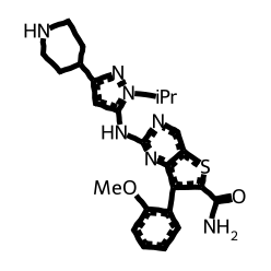 COc1ccccc1-c1c(C(N)=O)sc2cnc(Nc3cc(C4CCNCC4)nn3C(C)C)nc12